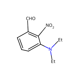 CCN(CC)c1cccc(C=O)c1[N+](=O)[O-]